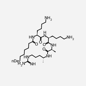 CCCCCCCCCCCCCCCC(=O)N[C@@H](CCCCN)C(=O)N[C@@H](CCCCN)C(=O)N[C@@H](C)C(=O)N[C@H](C)CCCNC(=N)N